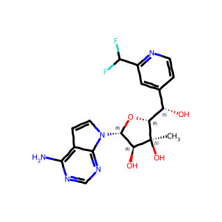 C[C@@]1(O)[C@@H]([C@@H](O)c2ccnc(C(F)F)c2)O[C@@H](n2ccc3c(N)ncnc32)[C@@H]1O